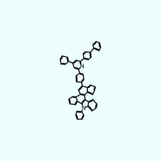 c1ccc(-c2ccc(-c3cc(-c4ccccc4)cc(-c4ccc(-c5cc6c7ccccc7c7c(c8ccccc8n7-c7ccccc7)c6c6ccccc56)cc4)n3)cc2)cc1